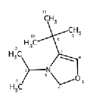 CC(C)N1COC=C1C(C)(C)C